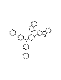 c1ccc(-c2ccc(N(c3ccc(-c4ccccc4)cc3)c3ccc(-c4cc5sc6ccccc6c5cc4-c4cccc5ccccc45)cc3)cc2)cc1